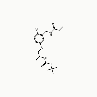 CCC(=O)NCc1cc(OC[C@H](C)NC(=O)OC(C)(C)C)ccc1Cl